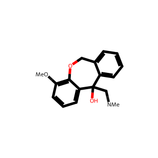 CNCC1(O)c2ccccc2COc2c(OC)cccc21